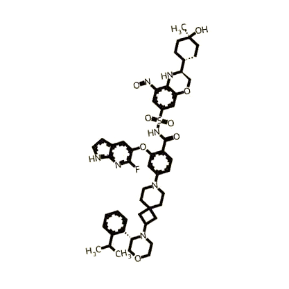 CC(C)c1ccccc1[C@H]1COCCN1C1CC2(CCN(c3ccc(C(=O)NS(=O)(=O)c4cc(N=O)c5c(c4)OC[C@H]([C@H]4CC[C@](C)(O)CC4)N5)c(Oc4cc5cc[nH]c5nc4F)c3)CC2)C1